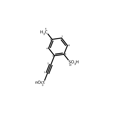 CCCCCCCCC#Cc1cc(C)ccc1S(=O)(=O)O